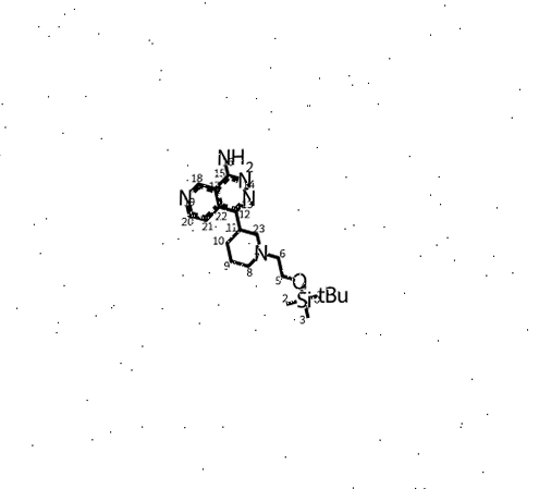 CC(C)(C)[Si](C)(C)OCCN1CCCC(c2nnc(N)c3cnccc23)C1